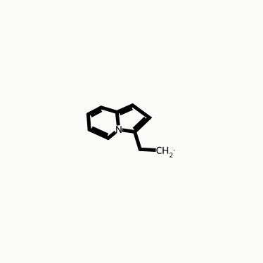 [CH2]Cc1ccc2ccccn12